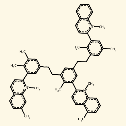 Cc1cc(CCc2cc(CCc3cc(C)c(C)c(-c4ccc5ccc(C)cc5[n+]4C)c3)c(C)c(-c3ccc4c(C)cccc4[n+]3C)c2)c(C)c(-c2ccc3ccccc3[n+]2C)c1